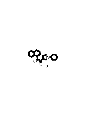 CN(C(=O)c1cccc2ccccc12)C1CCN(C2CCCCC2)C1